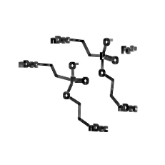 CCCCCCCCCCCCOP(=O)([O-])CCCCCCCCCCCC.CCCCCCCCCCCCOP(=O)([O-])CCCCCCCCCCCC.[Fe+2]